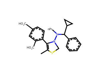 CCCN(C(c1ccccc1)C1CC1)N1CSC(C)=C1c1ccc(C(=O)O)cc1C(=O)O